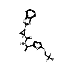 CC(NC(=O)[C@H]1C[C@@H]1c1nc2ccccc2o1)c1ccc(OCC(F)(F)F)s1